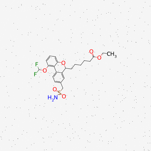 CCOC(=O)CCCCCC1Oc2cccc(OC(F)F)c2-c2ccc(CS(N)(=O)=O)cc21